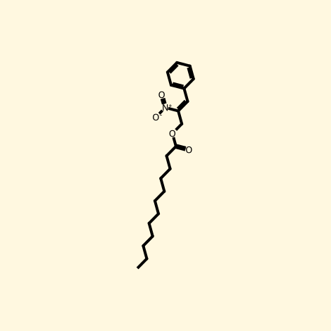 CCCCCCCCCCCC(=O)OCC(=Cc1ccccc1)[N+](=O)[O-]